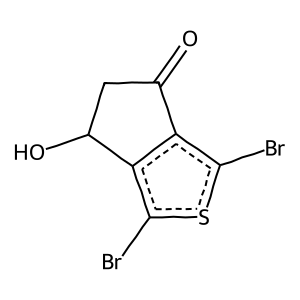 O=C1CC(O)c2c(Br)sc(Br)c21